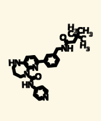 CC(C)(C)CC(=O)NCc1cccc(-c2ccc3c(n2)N(C(=O)Nc2ccncc2)CCCN3)c1